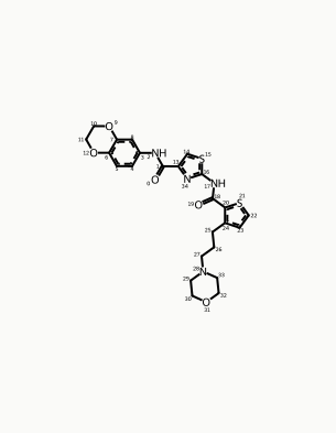 O=C(Nc1ccc2c(c1)OCCO2)c1csc(NC(=O)c2sccc2CCCN2CCOCC2)n1